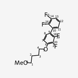 COCCCCOc1ccc(-c2cccc(F)c2F)c(F)c1F